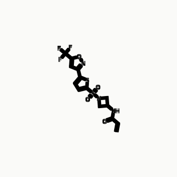 C=CC(=O)NC1CN(S(=O)(=O)c2ccc(-c3cc(C(F)(F)F)on3)s2)C1